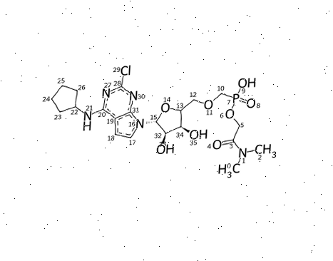 CN(C)C(=O)COP(=O)(O)COCC1O[C@@H](n2ccc3c(NC4CCCC4)nc(Cl)nc32)[C@H](O)[C@@H]1O